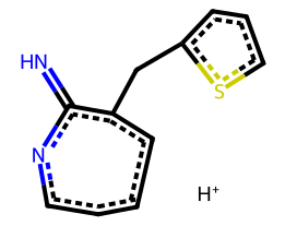 N=c1nccccc1Cc1cccs1.[H+]